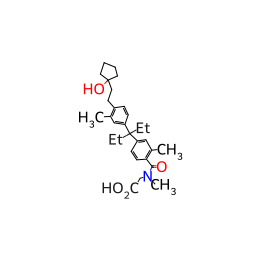 CCC(CC)(c1ccc(CCC2(O)CCCC2)c(C)c1)c1ccc(C(=O)N(C)CC(=O)O)c(C)c1